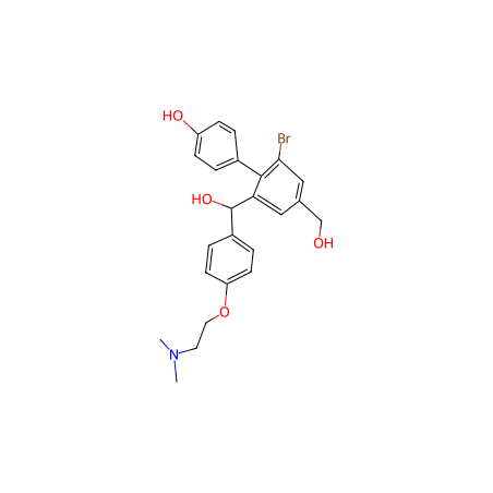 CN(C)CCOc1ccc(C(O)c2cc(CO)cc(Br)c2-c2ccc(O)cc2)cc1